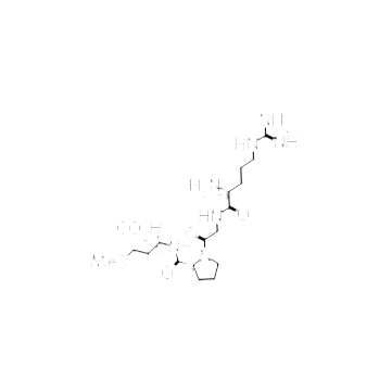 CSCC[C@H](NC(=O)[C@@H]1CCCN1C(=O)CNC(=O)[C@@H](N)CCCNC(=N)N)C(=O)O